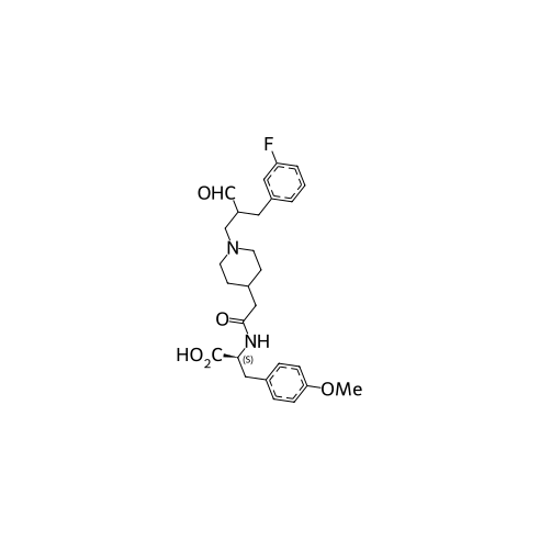 COc1ccc(C[C@H](NC(=O)CC2CCN(CC(C=O)Cc3cccc(F)c3)CC2)C(=O)O)cc1